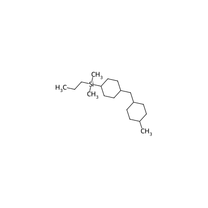 CCC[Si](C)(C)C1CCC(CC2CCC(C)CC2)CC1